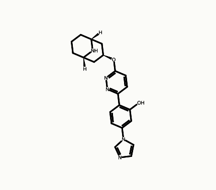 Oc1cc(-n2ccnc2)ccc1-c1ccc(O[C@@H]2C[C@H]3CCC[C@@H](C2)N3)nn1